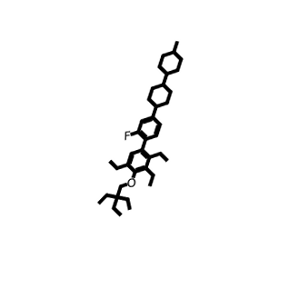 CCc1cc(-c2ccc(C3CCC(C4CCC(C)CC4)CC3)cc2F)c(CC)c(CC)c1OCC(CC)(CC)CC